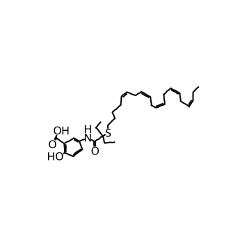 CC/C=C\C/C=C\C/C=C\C/C=C\C/C=C\CCCCSC(CC)(CC)C(=O)Nc1ccc(O)c(C(=O)O)c1